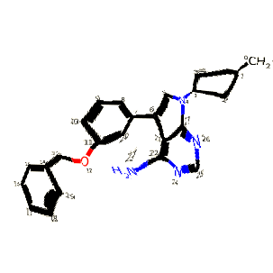 [CH2][C@H]1C[C@@H](n2cc(-c3cccc(OCc4ccccc4)c3)c3c(N)ncnc32)C1